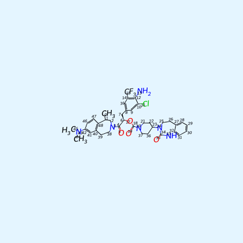 CC1CN(C(=O)[C@@H](Cc2cc(Cl)c(N)c(C(F)(F)F)c2)OC(=O)N2CCC(N3CCc4ccccc4NC3=O)CC2)CCc2cc(N(C)C)ccc21